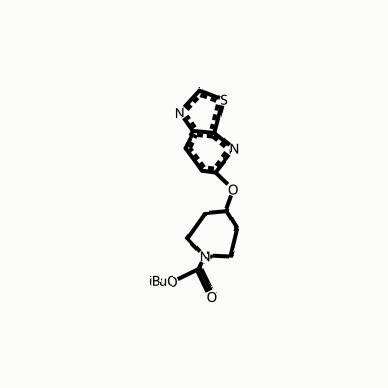 CC(C)COC(=O)N1CCC(Oc2ccc3n[c]sc3n2)CC1